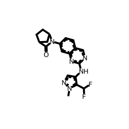 Cn1ncc(Nc2ncc3ccc(N4C(=O)C5CCC4C5)cc3n2)c1C(F)F